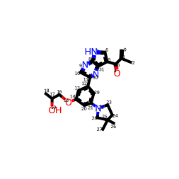 C=C(C)C(=O)c1c[nH]c2ncc(-c3cc(OCC(C)O)cc(N4CCC(C)(C)C4)c3)nc12